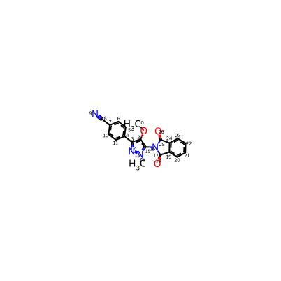 COc1c(-c2ccc(C#N)cc2)nn(C)c1N1C(=O)c2ccccc2C1=O